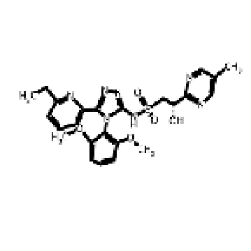 CCc1cccc(-c2nnc(NS(=O)(=O)C[C@@H](O)c3ncc(C)cn3)n2-c2c(OC)cccc2OC)n1